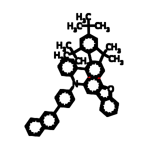 CC(C)(C)c1cc(C(C)(C)C)c2c(c1)C(C)(C)c1cccc(-c3ccccc3N(c3ccc(-c4ccc5ccccc5c4)cc3)c3ccc4oc5ccccc5c4c3)c1-2